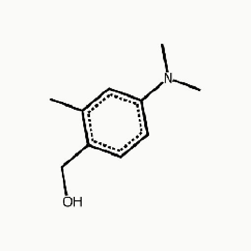 Cc1cc(N(C)C)ccc1CO